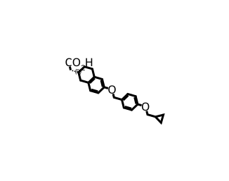 O=C(O)C[C@@H]1CCc2cc(OCc3ccc(OCC4CC4)cc3)ccc2C1